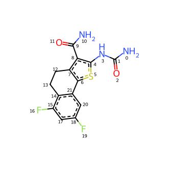 NC(=O)Nc1sc2c(c1C(N)=O)CCc1c(F)cc(F)cc1-2